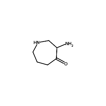 NC1CNCCCC1=O